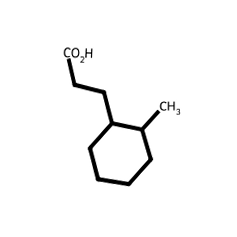 CC1CCCCC1CCC(=O)O